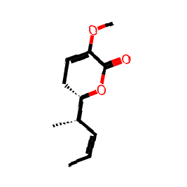 C/C=C\[C@H](C)[C@@H]1CC=C(OC)C(=O)O1